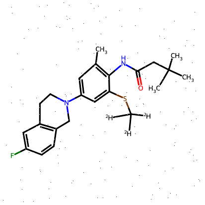 [2H]C([2H])([2H])Sc1cc(N2CCc3cc(F)ccc3C2)cc(C)c1NC(=O)CC(C)(C)C